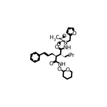 CC(C)C[C@@H](C(=O)NN(Cc1ccco1)S(C)(=O)=O)[C@H](CC=Cc1ccccc1)C(=O)NOC1CCCCO1